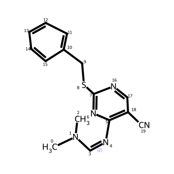 CN(C)/C=N\c1nc(SCc2ccccc2)ncc1C#N